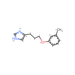 Cc1[c]ccc(OCCCc2c[nH]cn2)c1